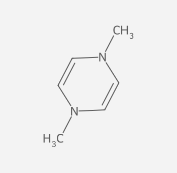 CN1C=CN(C)C=C1